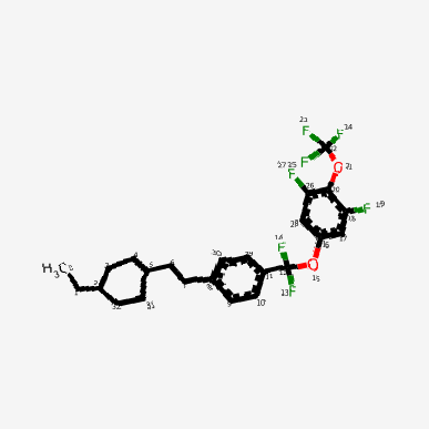 CCC1CCC(CCc2ccc(C(F)(F)Oc3cc(F)c(OC(F)(F)F)c(F)c3)cc2)CC1